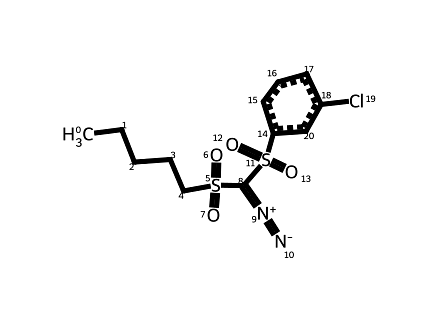 CCCCCS(=O)(=O)C(=[N+]=[N-])S(=O)(=O)c1cccc(Cl)c1